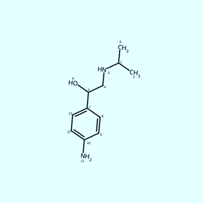 CC(C)NCC(O)c1ccc(N)cc1